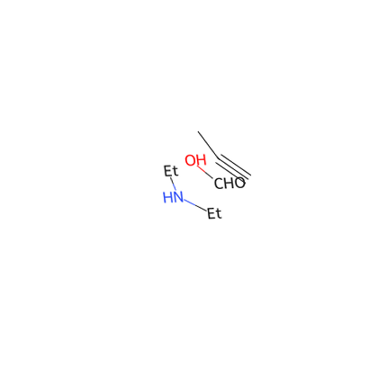 C#CC.CCNCC.O=CO